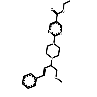 CCOC(=O)c1cnc(N2CCN(C(/C=C/c3ccccc3)COC)CC2)nc1